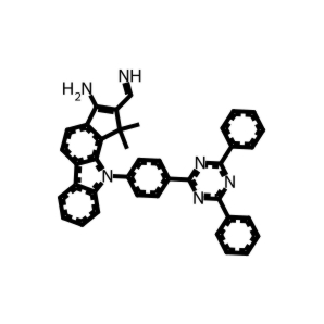 CC1(C)C(C=N)=C(N)c2ccc3c4ccccc4n(-c4ccc(-c5nc(-c6ccccc6)nc(-c6ccccc6)n5)cc4)c3c21